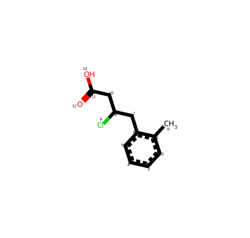 Cc1ccccc1CC(Cl)CC(=O)O